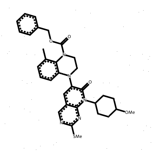 COC1CCC(n2c(=O)c(N3CCN(C(=O)OCc4ccccc4)c4c(C)cccc43)cc3cnc(SC)nc32)CC1